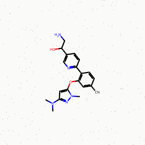 CN(C)c1cc(Oc2cc(C#N)ccc2-c2ccc(C(O)CN)cn2)n(C)n1